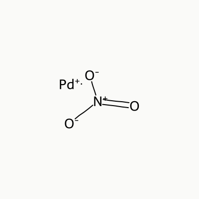 O=[N+]([O-])[O-].[Pd+]